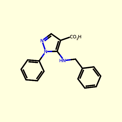 O=C(O)c1cnn(-c2ccccc2)c1NCc1ccccc1